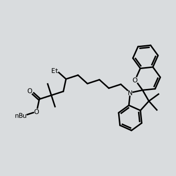 CCCCOC(=O)C(C)(C)CC(CC)CCCCCN1c2ccccc2C(C)(C)C12C=Cc1ccccc1O2